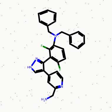 NCc1cc(-c2c[nH]nc2-c2c(F)ccc(N(Cc3ccccc3)Cc3ccccc3)c2F)ccn1